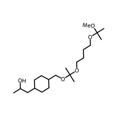 COC(C)(C)OCCCCOC(C)(C)OCC1CCC(CC(C)O)CC1